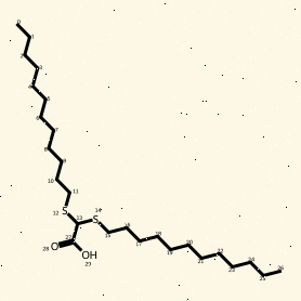 CCCCCCCCCCCCSC(SCCCCCCCCCCCC)C(=O)O